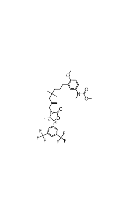 C=C(CN1C(=O)O[C@H](c2cc(C(F)(F)F)cc(C(F)(F)F)c2)[C@@H]1C)CC(C)(C)CCCc1cc(N(C)C(=O)OC)ccc1OC